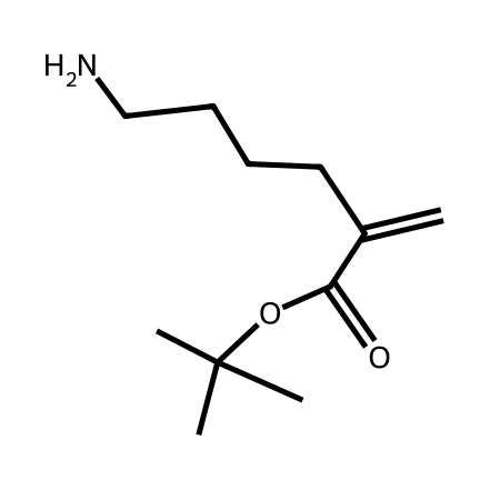 C=C(CCCCN)C(=O)OC(C)(C)C